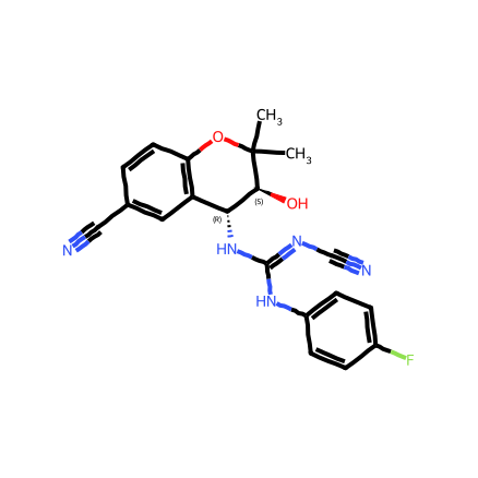 CC1(C)Oc2ccc(C#N)cc2[C@@H](NC(=NC#N)Nc2ccc(F)cc2)[C@@H]1O